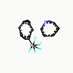 [F][Cu]([F])([F])([F])([F])[c]1ccccc1.c1ccncc1